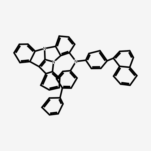 c1ccc(-c2ccc(N(c3ccc(-c4cccc5ccccc45)cc3)c3cccc4c3n3c5ccccc5c5c6ccccc6n4c53)cc2)cc1